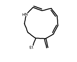 C=C1\C=C/C=C\C=C\NCCC1CC